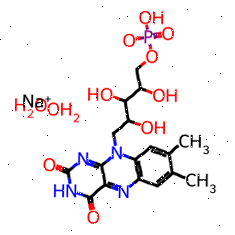 Cc1cc2nc3c(=O)[nH]c(=O)nc-3n(CC(O)C(O)C(O)COP(=O)([O-])O)c2cc1C.O.O.[Na+]